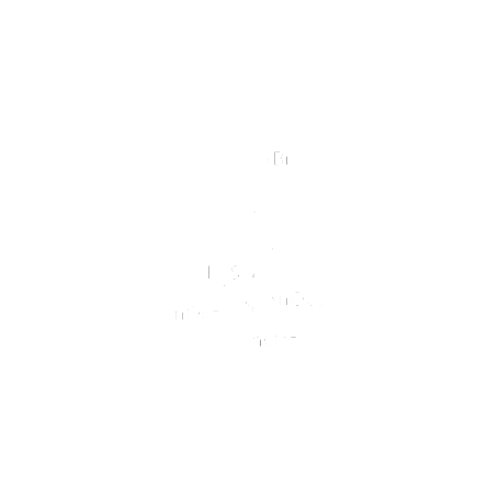 CCCCCCCCS(CCCCCCCC)(CCCCCCCC)[SiH2]CCCBr